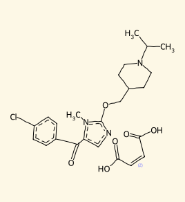 CC(C)N1CCC(COc2ncc(C(=O)c3ccc(Cl)cc3)n2C)CC1.O=C(O)/C=C\C(=O)O